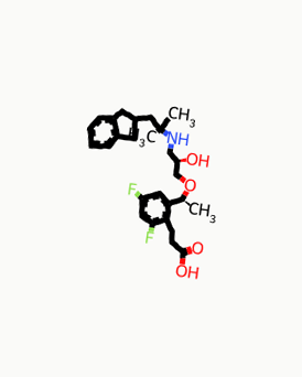 C[C@@H](OC[C@H](O)CNC(C)(C)CC1Cc2ccccc2C1)c1cc(F)cc(F)c1CCC(=O)O